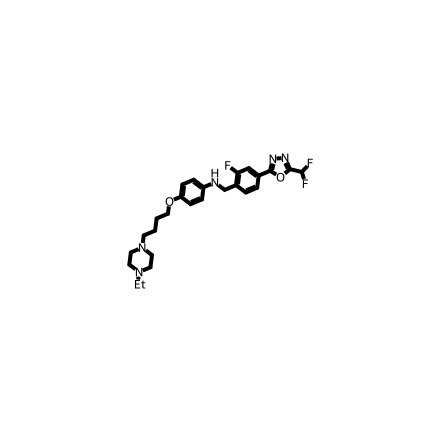 CCN1CCN(CCCCOc2ccc(NCc3ccc(-c4nnc(C(F)F)o4)cc3F)cc2)CC1